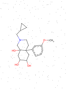 COc1cccc(C23CCN(CC4CC4)CC2(O)CC(O)C(O)C3)c1